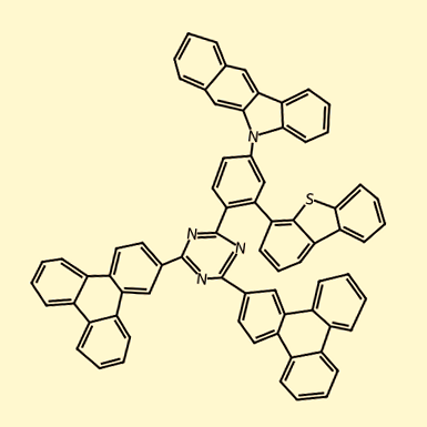 c1ccc2cc3c(cc2c1)c1ccccc1n3-c1ccc(-c2nc(-c3ccc4c5ccccc5c5ccccc5c4c3)nc(-c3ccc4c5ccccc5c5ccccc5c4c3)n2)c(-c2cccc3c2sc2ccccc23)c1